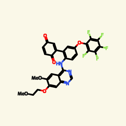 COCCOc1cc2ncnc(Nc3ccc(Oc4c(F)c(F)c(F)c(F)c4F)cc3C3=CC(=O)C=CC3=O)c2cc1OC